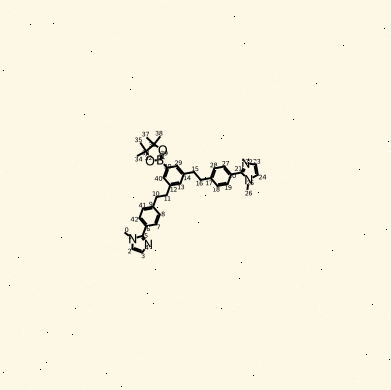 Cn1ccnc1-c1ccc(CCc2cc(CCc3ccc(-c4nccn4C)cc3)cc(B3OC(C)(C)C(C)(C)O3)c2)cc1